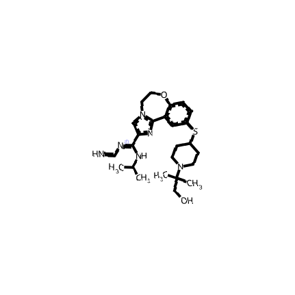 CC(C)N/C(=N\C=N)c1cn2c(n1)-c1cc(SC3CCN(C(C)(C)CO)CC3)ccc1OCC2